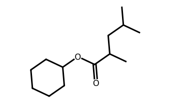 CC(C)CC(C)C(=O)OC1CCCCC1